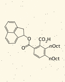 CCCCCCCCc1ccc(C(=O)OC2Cc3cccc4cccc2c34)c(C(=O)O)c1CCCCCCCC